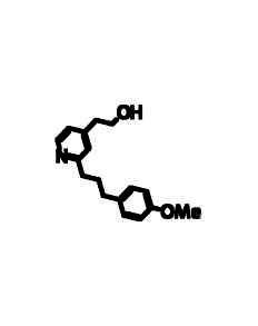 COc1ccc(CCCc2cc(CCO)ccn2)cc1